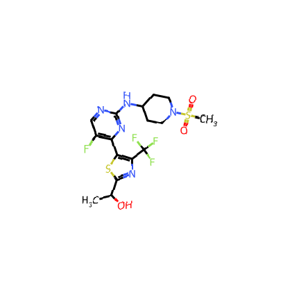 CC(O)c1nc(C(F)(F)F)c(-c2nc(NC3CCN(S(C)(=O)=O)CC3)ncc2F)s1